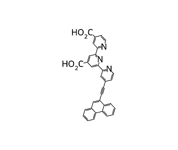 O=C(O)c1ccnc(-c2cc(C(=O)O)cc(-c3cc(C#Cc4cc5ccccc5c5ccccc45)ccn3)n2)c1